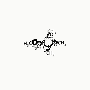 CC(=O)CN1CCN(CC(C)=O)CCN(C(Cc2ccc(C)cc2)C(C)=O)CCN(CC(C)=O)CC1